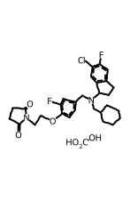 O=C(O)O.O=C1CCC(=O)N1CCOc1ccc(CN(CC2CCCCC2)C2CCc3cc(F)c(Cl)cc32)cc1F